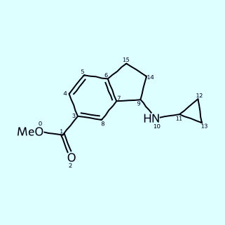 COC(=O)c1ccc2c(c1)C(NC1CC1)CC2